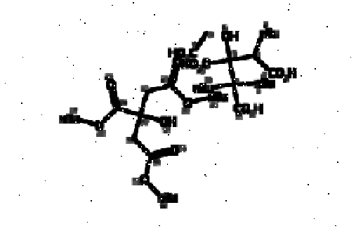 CC(=O)O.CCCCC(C(=O)O)C(O)(C(=O)O)C(CCCC)(CCCC)C(=O)O.CCCCOC(=O)CC(O)(CC(=O)OCCCC)C(=O)OCCCC